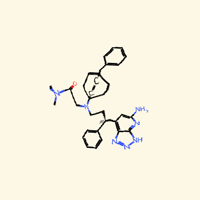 CN(C)C(=O)CN(CC[C@H](c1ccccc1)c1cc(N)nc2[nH]nnc12)C12CCC(c3ccccc3)(CC1)CC2